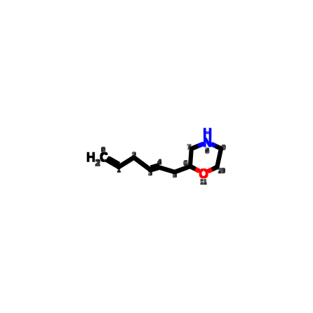 C=CCC=CCC1CNCCO1